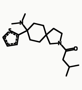 CC(C)CC(=O)N1CCC2(CCC(c3cccs3)(N(C)C)CC2)C1